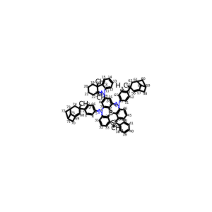 CC1(c2ccc(N3c4cc(N5c6ccccc6C6(C)CCCCC56C)cc5c4B4c6c3cccc6[Si](C)(c3ccccc3)c3cccc(c34)N5c3ccc(C4(C)C=C5CC6CC(C4)C56)cc3)cc2)C=C2CC3CC(C1)C23